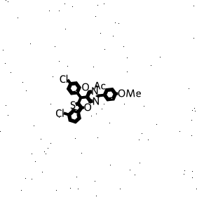 COc1ccc(-c2nc3c(c(=O)n2C(C)=O)C(c2ccc(Cl)cc2)c2sc4c(Cl)cccc4c2O3)cc1